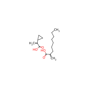 C=C(C(=O)O)C1CC1.C=C(CCCCCCC)C(=O)O